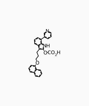 O=C(O)Oc1[nH]c2c(-c3cccnc3)cccc2c1CCCOc1cccc2ccccc12